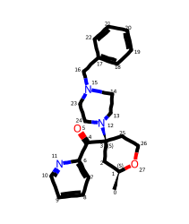 C[C@H]1C[C@@](C(=O)c2ccccn2)(N2CCN(Cc3ccccc3)CC2)CCO1